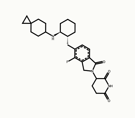 O=C1CCC(N2Cc3c(ccc(C[C@H]4CCCC[C@@H]4NC4CCC5(CC4)CC5)c3F)C2=O)C(=O)N1